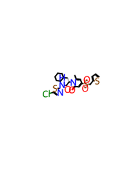 Cc1cc(S(=O)(=O)Cc2cccs2)cc(=O)n1[C@@H](CC1CCCCC1)C(=O)Nc1ncc(Cl)s1